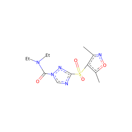 CCN(CC)C(=O)n1cnc(S(=O)(=O)c2c(C)noc2C)n1